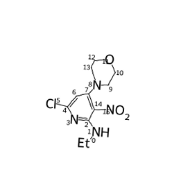 CCNc1nc(Cl)cc(N2CCOCC2)c1[N+](=O)[O-]